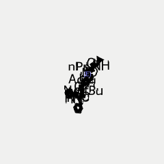 CCC[C@H](/N=C1\CC[C@H]2CN(C(=O)[C@@H](NC(=O)[C@H](CC3CCCCC3)NC(=O)c3cnccn3)C(C)(C)C)[C@H](C(C)=O)[C@@H]12)C(=O)C(=O)NC1CC1